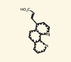 O=C(O)/C=C/c1ccnc2c1ccc1cccnc12